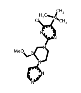 COC[C@H]1CN(c2ncc([Si](C)(C)C)c(Cl)n2)CCN1c1ccncn1